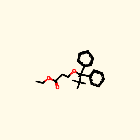 CCOC(=O)CCO[Si](c1ccccc1)(c1ccccc1)C(C)(C)C